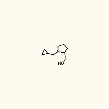 OC[C@H]1CCCN1CC1CC1